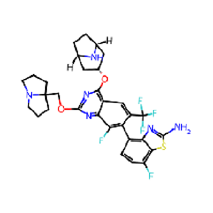 Nc1nc2c(-c3c(C(F)(F)F)cc4c(O[C@H]5C[C@H]6CC[C@@H](C5)N6)nc(OCC56CCCN5CCC6)nc4c3F)ccc(F)c2s1